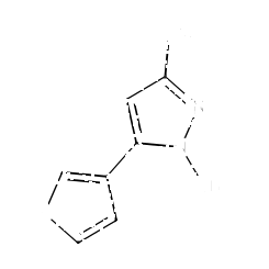 Cn1nc(C(C)(C)C)cc1-c1ccsc1